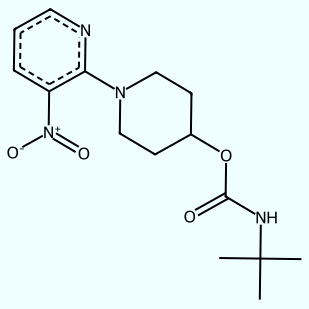 CC(C)(C)NC(=O)OC1CCN(c2ncccc2[N+](=O)[O-])CC1